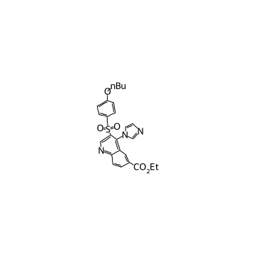 CCCCOc1ccc(S(=O)(=O)c2cnc3ccc(C(=O)OCC)cc3c2-n2ccnc2)cc1